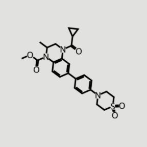 COC(=O)N1c2ccc(-c3ccc(N4CCS(=O)(=O)CC4)cc3)cc2N(C(=O)C2CC2)CC1C